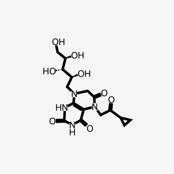 O=C(CN1C(=O)CN(C[C@H](O)[C@H](O)[C@H](O)CO)c2[nH]c(=O)[nH]c(=O)c21)C1CC1